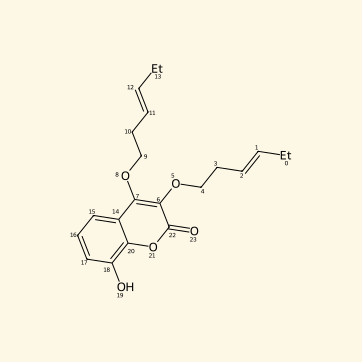 CCC=CCCOc1c(OCCC=CCC)c2cccc(O)c2oc1=O